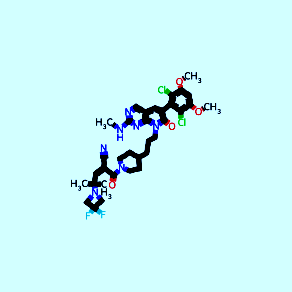 CNc1ncc2cc(-c3c(Cl)c(OC)cc(OC)c3Cl)c(=O)n(CCCC3CCN(C(=O)/C(C#N)=C\C(C)(C)N4CC(F)(F)C4)CC3)c2n1